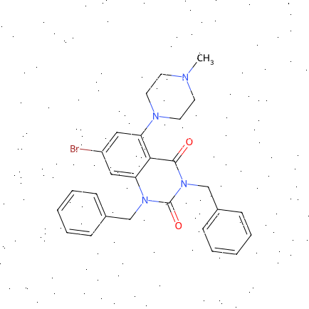 CN1CCN(c2cc(Br)cc3c2c(=O)n(Cc2ccccc2)c(=O)n3Cc2ccccc2)CC1